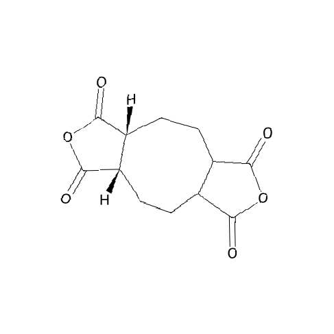 O=C1OC(=O)C2CC[C@H]3C(=O)OC(=O)[C@H]3CCC12